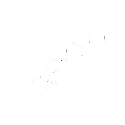 CNC1=NC(N)(c2cnn([C@@H]3CCN(C4CCCCC4)C[C@H]3F)c2)NC=C1F